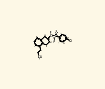 N#CCCc1cccc2c1CCC(NS(=O)(=O)c1ccc(Cl)cc1)C2